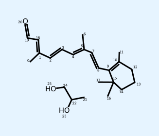 CC(C=CC=C(C)C=CC1=C(C)CCCC1(C)C)=CC=O.CC(O)CO